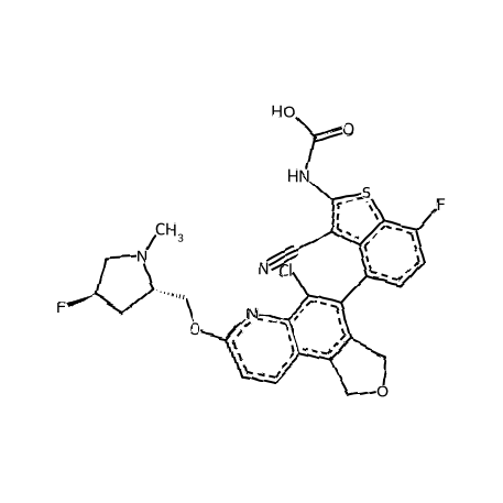 CN1C[C@H](F)C[C@H]1COc1ccc2c3c(c(-c4ccc(F)c5sc(NC(=O)O)c(C#N)c45)c(Cl)c2n1)COC3